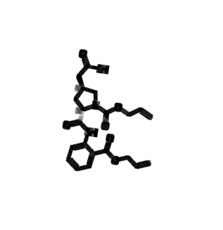 C=CCOC(=O)c1ccccc1NC(=O)[C@@H]1C[C@@H](CC(=O)S)CN1C(=O)OCC=C